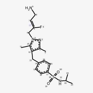 Cc1nn(C/C(F)=C/CN)c(C)c1Cc1ccc(S(=O)(=O)NC(C)C)cc1